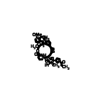 C=CC(=O)N1CC[C@H](C(=O)N(C)[C@H](C(=O)N[C@H]2Cc3nc(cs3)-c3ccc4c(c3)c(c(-c3cccnc3[C@H](C)OC)n4CC)CC(C)(C)COC(=O)[C@@H]3CCCN(N3)C2=O)C(C)C)C1